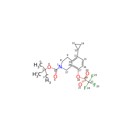 CC(C)(C)OC(=O)N1CCc2c(C3CC3)ccc(OS(=O)(=O)C(F)(F)F)c2C1